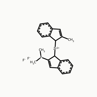 CC1=Cc2ccccc2[CH]1[Zr+2][CH]1C(P(C)C)=Cc2ccccc21.[F-].[F-]